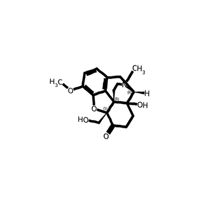 COc1ccc2c3c1O[C@@]1(CO)C(=O)CCC4(O)[C@@H](C2)N(C)CC[C@@]341